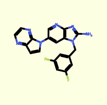 Nc1nc2ncc(-n3ccc4nccnc43)cc2n1Cc1cc(F)cc(F)c1